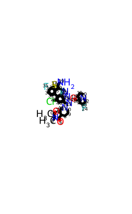 CC(=O)N(C)C(=O)C1CCCN(c2nc(OC[C@@]34CCCN3C[C@H](F)C4)nc3c(F)c(-c4ccc(F)c5sc(N)c(C#N)c45)c(Cl)cc23)CC1